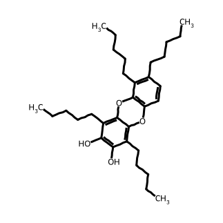 CCCCCc1ccc2c(c1CCCCC)Oc1c(CCCCC)c(O)c(O)c(CCCCC)c1O2